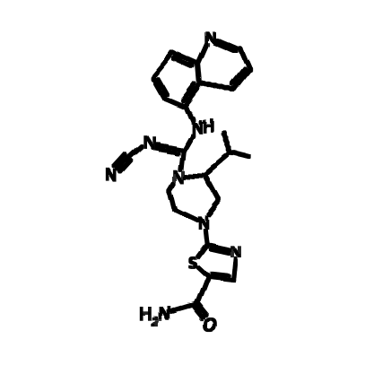 CC(C)C1CN(c2ncc(C(N)=O)s2)CCN1/C(=N\C#N)Nc1cccc2ncccc12